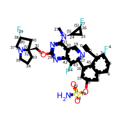 C#Cc1c(F)ccc2cc(OS(N)(=O)=O)cc(-c3ncc4c(N(C)[C@H]5C[C@@H]5F)nc(OC[C@@]56CCCN5C[C@H](F)C6)nc4c3F)c12